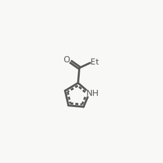 CCC(=O)c1ccc[nH]1